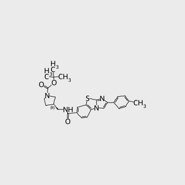 Cc1ccc(-c2cn3c(n2)sc2cc(C(=O)NC[C@H]4CCN(C(=O)OC(C)(C)C)C4)ccc23)cc1